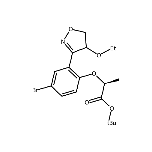 CCOC1CON=C1c1cc(Br)ccc1O[C@@H](C)C(=O)OC(C)(C)C